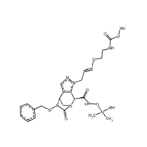 CC(C)(C)OC(=O)NCCO/N=C/Cn1ncc2c1[C@@H](C(=O)NO[Si](C)(C)C(C)(C)C)N1CC2N(OCc2ccccc2)C1=O